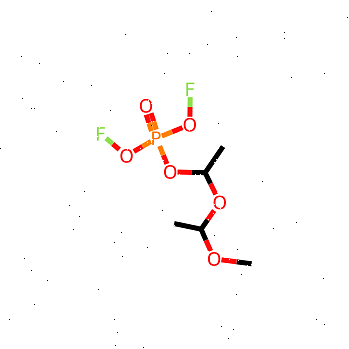 COC(C)OC(C)OP(=O)(OF)OF